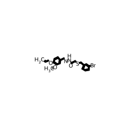 C=CCOc1ccc(C=NNC(=O)CSCc2cccc(Br)c2)cc1OC